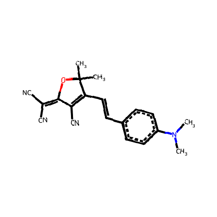 CN(C)c1ccc(C=CC2=C(C#N)C(=C(C#N)C#N)OC2(C)C)cc1